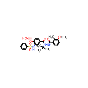 COc1cccc(C(=O)NN(C(=O)c2ccc(OBO)c(NS(=O)(=O)c3ccccc3)c2)C(C)(C)C)c1C